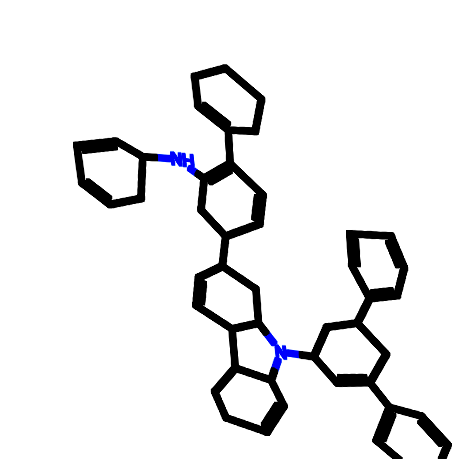 C1=CCC(NC2=C(C3=CCCCC3)C=CC(C3C=CC4C5CCC=CC5N(C5C=C(C6=CCCC=C6)CC(c6ccccc6)C5)C4C3)C2)C=C1